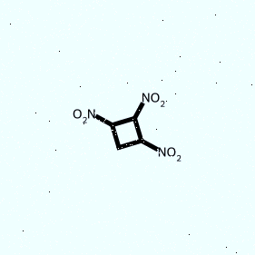 O=[N+]([O-])C1CC([N+](=O)[O-])C1[N+](=O)[O-]